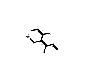 C=C/C(C)=C(CC#N)\C(C)=C/C